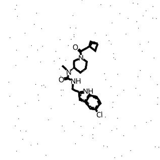 CN(C(=O)NCc1cc2cc(Cl)ccc2[nH]1)[C@@H]1CCCN(C(=O)C23CC(C2)C3)C1